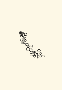 CC(C)(C)OC(=O)N[C@@H](C(=O)N1CCC[C@H]1C(=O)Nc1ccc2c(c1)CCCc1c-2[nH]c2ccc(NC(=O)[C@@H]3CCCN3C(=O)[C@H](NC(=O)OC(C)(C)C)c3ccccc3)cc12)c1ccccc1